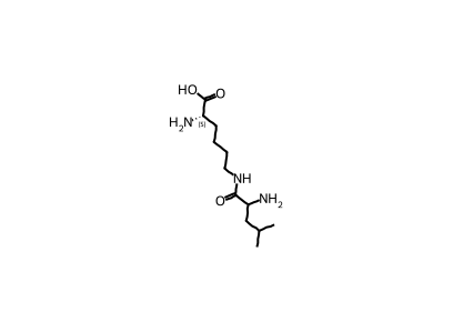 CC(C)CC(N)C(=O)NCCCC[C@H](N)C(=O)O